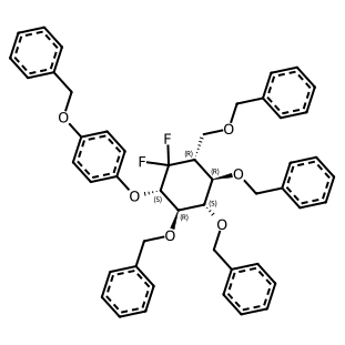 FC1(F)[C@H](COCc2ccccc2)[C@@H](OCc2ccccc2)[C@H](OCc2ccccc2)[C@@H](OCc2ccccc2)[C@@H]1Oc1ccc(OCc2ccccc2)cc1